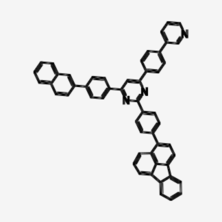 c1cncc(-c2ccc(-c3cc(-c4ccc(-c5ccc6ccccc6c5)cc4)nc(-c4ccc(-c5ccc6c7c(cccc57)-c5ccccc5-6)cc4)n3)cc2)c1